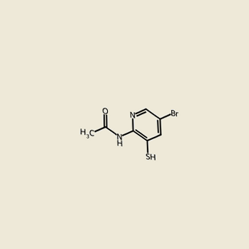 CC(=O)Nc1ncc(Br)cc1S